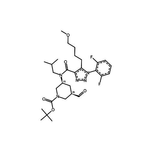 COCCCCc1c(C(=O)N(CC(C)C)[C@H]2C[C@@H](C=O)CN(C(=O)OC(C)(C)C)C2)nnn1-c1c(F)cccc1F